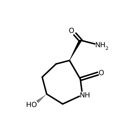 NC(=O)[C@@H]1CC[C@@H](O)CNC1=O